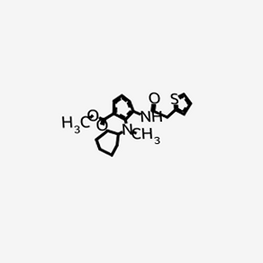 COC(=O)c1cccc(NC(=O)Cc2cccs2)c1N(C)C1CCCCC1